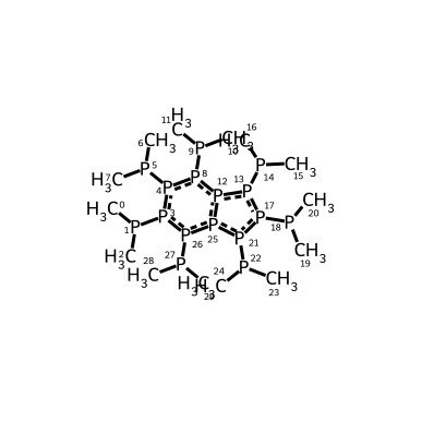 CP(C)p1p(P(C)C)p(P(C)C)p2p(P(C)C)p(P(C)C)p(P(C)C)p2p1P(C)C